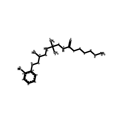 CC(C)(CNC(=O)CCCCO[N+](=O)[O-])NCC(O)COc1ccccc1C#N